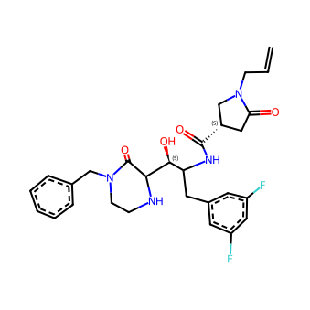 C=CCN1C[C@@H](C(=O)NC(Cc2cc(F)cc(F)c2)[C@H](O)C2NCCN(Cc3ccccc3)C2=O)CC1=O